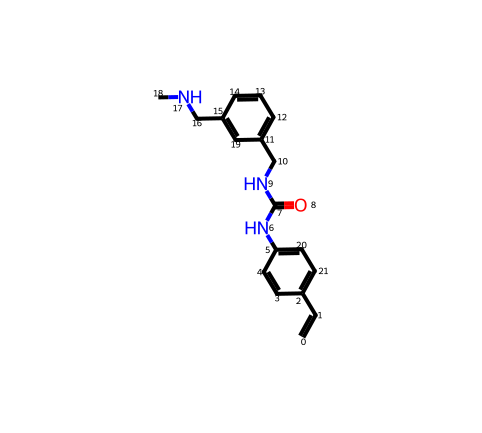 C=Cc1ccc(NC(=O)NCc2cccc(CNC)c2)cc1